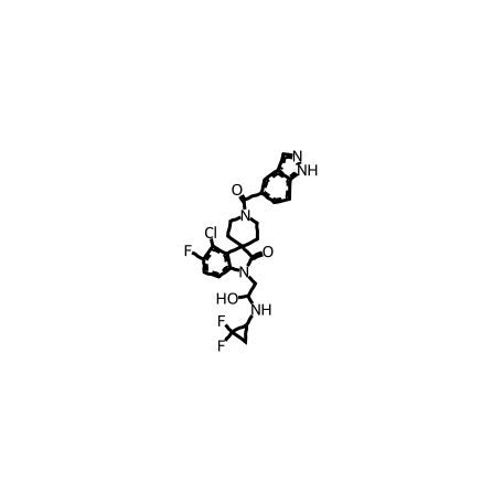 O=C(c1ccc2[nH]ncc2c1)N1CCC2(CC1)C(=O)N(CC(O)NC1CC1(F)F)c1ccc(F)c(Cl)c12